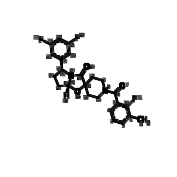 Cc1cccc(C(=O)N2CCC3(CC2)O[C@@H]2CC[C@@H](c4cc(F)cc(F)c4)N2C3=O)c1F